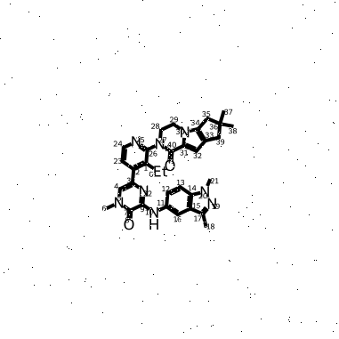 CCc1c(-c2cn(C)c(=O)c(Nc3ccc4c(c3)c(C)nn4C)n2)ccnc1N1CCn2c(cc3c2CC(C)(C)C3)C1=O